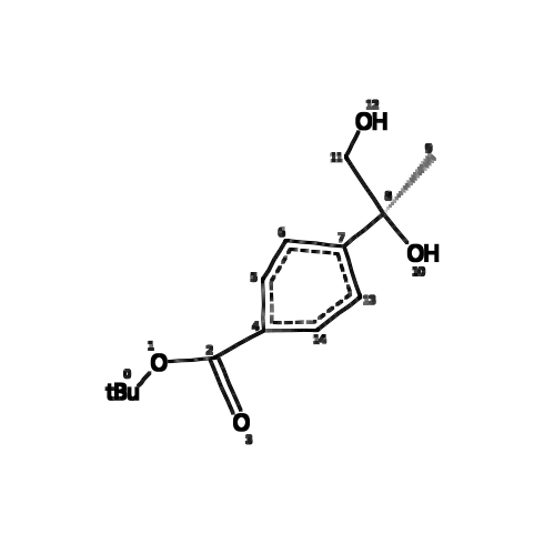 CC(C)(C)OC(=O)c1ccc([C@](C)(O)CO)cc1